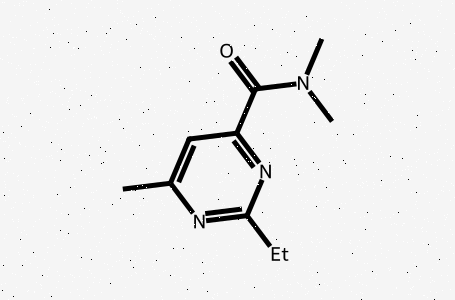 CCc1nc(C)cc(C(=O)N(C)C)n1